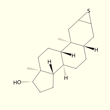 C[C@]12CC3SC3C[C@@H]1CC[C@@H]1[C@@H]2CC[C@]2(C)[C@@H](O)CC[C@@H]12